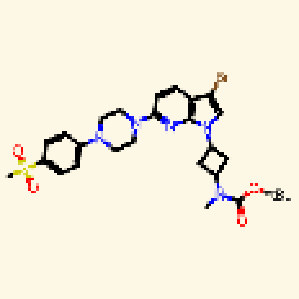 CN(C(=O)OC(C)(C)C)C1CC(n2cc(Br)c3ccc(N4CCN(c5ccc(S(C)(=O)=O)cc5)CC4)nc32)C1